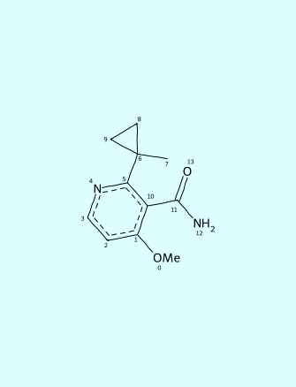 COc1ccnc(C2(C)CC2)c1C(N)=O